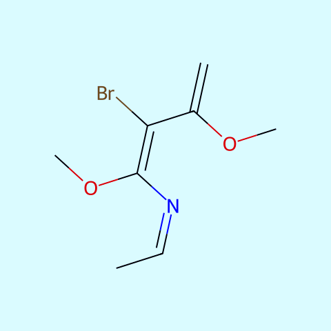 C=C(OC)/C(Br)=C(\N=C/C)OC